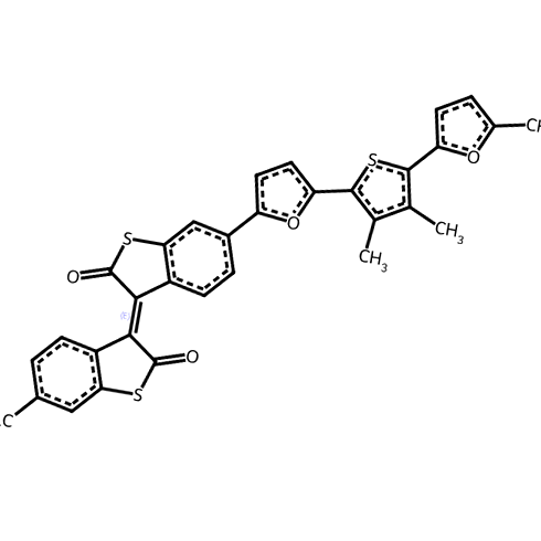 Cc1ccc2c(c1)SC(=O)/C2=C1/C(=O)Sc2cc(-c3ccc(-c4sc(-c5ccc(C)o5)c(C)c4C)o3)ccc21